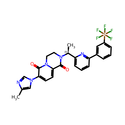 Cc1cn(-c2ccc3n(c2=O)CCN([C@@H](C)c2cccc(-c4cccc(S(F)(F)(F)(F)F)c4)n2)C3=O)cn1